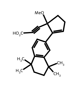 COC1(C#CC(=O)O)CCC=C1c1ccc2c(c1)C(C)(C)CCC2(C)C